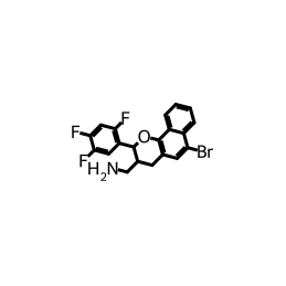 NCC1Cc2cc(Br)c3ccccc3c2OC1c1cc(F)c(F)cc1F